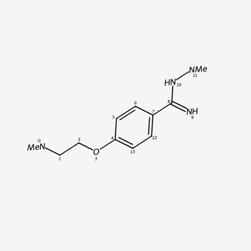 CNCCOc1ccc(C(=N)NNC)cc1